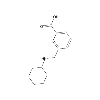 O=C(O)c1cccc(CNC2CCCCC2)c1